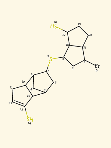 CCC1CC(SC2CC3CC2C2CC=C(S)C32)C2C(S)CCC12